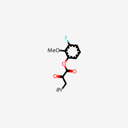 COc1c(F)cccc1OC(=O)C(=O)CC(C)C